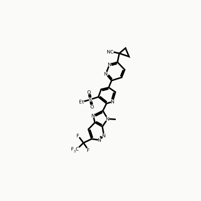 CCS(=O)(=O)c1cc(-c2ccc(C3(C#N)CC3)nn2)cnc1-c1nc2cc(C(F)(F)C(F)(F)F)nnc2n1C